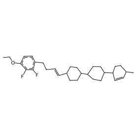 CCOc1ccc(CC/C=C/C2CCC(C3CCC(C4C=CC(C)CC4)CC3)CC2)c(F)c1F